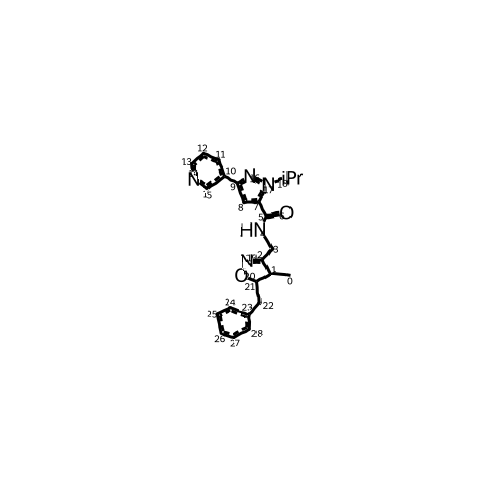 CC1C(CNC(=O)c2cc(-c3cccnc3)nn2C(C)C)=NOC1Cc1ccccc1